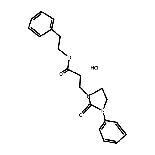 Cl.O=C(CCN1CCN(c2ccccc2)C1=O)OCCc1ccccc1